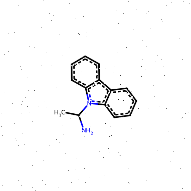 CC(N)n1c2ccccc2c2ccccc21